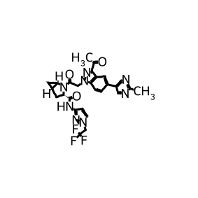 CC(=O)c1nn(CC(=O)N2[C@@H]3C[C@@H]3C[C@H]2C(=O)Nc2ccn(CC(F)(F)F)n2)c2ccc(-c3cnc(C)nc3)cc12